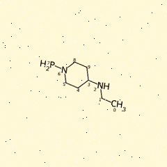 CCNC1CCN(P)CC1